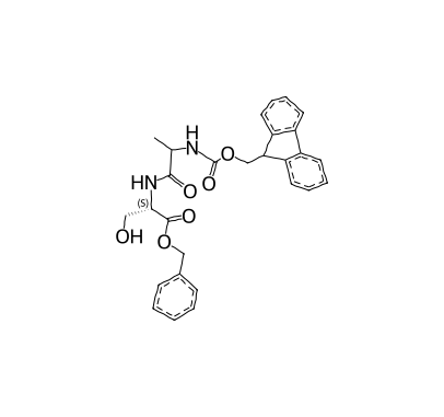 CC(NC(=O)OCC1c2ccccc2-c2ccccc21)C(=O)N[C@@H](CO)C(=O)OCc1ccccc1